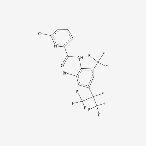 O=C(Nc1c(Br)cc(C(F)(C(F)(F)F)C(F)(F)F)cc1C(F)(F)F)c1cccc(Cl)n1